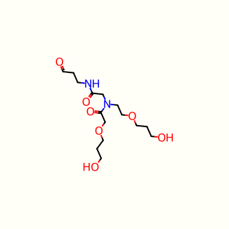 O=CCCNC(=O)CN(CCOCCCO)C(=O)COCCCO